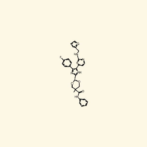 CC1(C(=O)Nc2ccccc2)COC(c2nc(-c3ccc(F)cc3)c(-c3ccnc(NCc4ccco4)n3)[nH]2)OC1